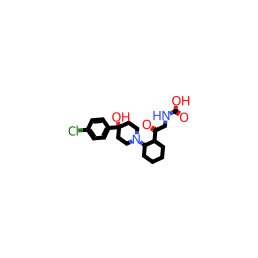 O=C(O)NCC(=O)C1CCCCC1N1CCC(O)(c2ccc(Cl)cc2)CC1